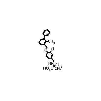 Cc1c(COc2ccc(CNC(C)(C)C(=O)O)cc2Cl)cccc1-c1ccccc1